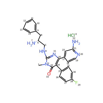 Cl.Cn1c(NC[C@H](N)Cc2ccccc2)nc(-c2ccnc(N)c2)c(-c2ccc(F)cc2)c1=O